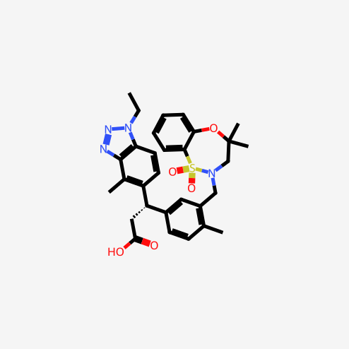 CCn1nnc2c(C)c([C@@H](CC(=O)O)c3ccc(C)c(CN4CC(C)(C)Oc5ccccc5S4(=O)=O)c3)ccc21